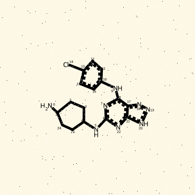 NC1CCC(Nc2nc(Nc3ccc(Cl)cc3)c3nn[nH]c3n2)CC1